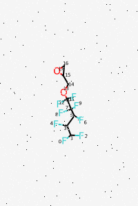 FC(F)C(F)C(F)C(F)(F)C(F)(F)OCC1CO1